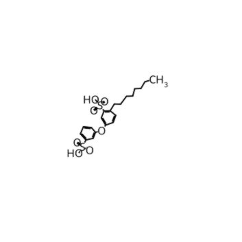 CCCCCCCCc1ccc(Oc2cccc(S(=O)(=O)O)c2)cc1S(=O)(=O)O